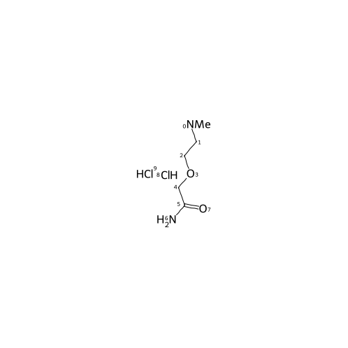 CNCCOCC(N)=O.Cl.Cl